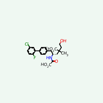 CCOC(=O)C(C)(CCO)C[C@@H](Cc1ccc(-c2cc(Cl)ccc2F)cc1)NC(=O)C(=O)O